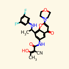 C/C(O)=C(\C#N)C(=O)Nc1cc(C(C)Nc2cc(F)cc(F)c2)c2oc(N3CCOCC3)cc(=O)c2c1